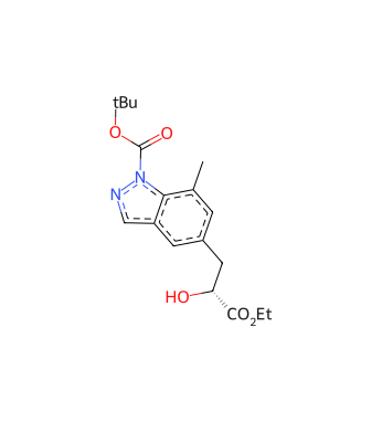 CCOC(=O)[C@H](O)Cc1cc(C)c2c(cnn2C(=O)OC(C)(C)C)c1